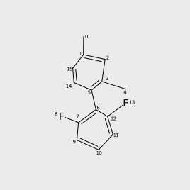 Cc1[c]c(C)c(-c2c(F)cccc2F)cc1